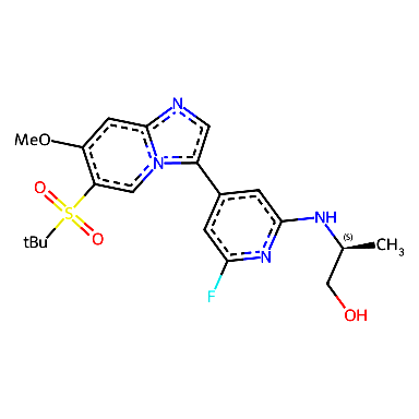 COc1cc2ncc(-c3cc(F)nc(N[C@@H](C)CO)c3)n2cc1S(=O)(=O)C(C)(C)C